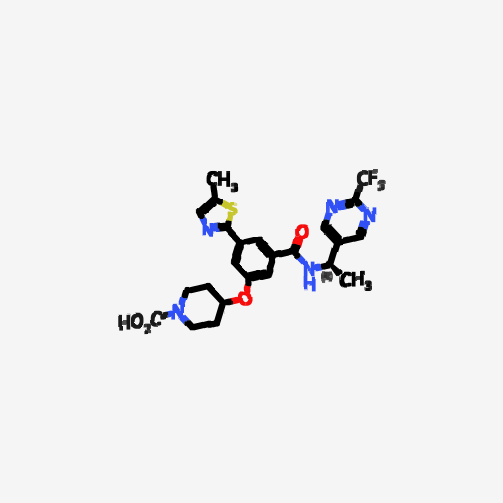 Cc1cnc(-c2cc(OC3CCN(C(=O)O)CC3)cc(C(=O)N[C@H](C)c3cnc(C(F)(F)F)nc3)c2)s1